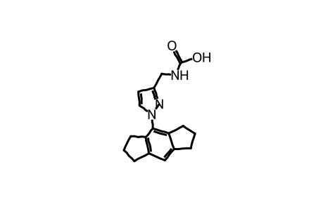 O=C(O)NCc1ccn(-c2c3c(cc4c2CCC4)CCC3)n1